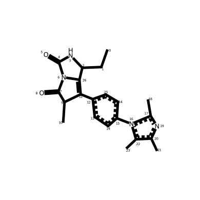 CCC1NC(=O)N2C(=O)C(C)C(c3ccc(-n4c(C)nc(C)c4C)cc3)=C12